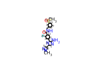 Cn1cc(-c2cnc(N)c(-c3ccc(C(=O)NCc4cccc([S+](C)[O-])c4)c(F)c3)n2)cn1